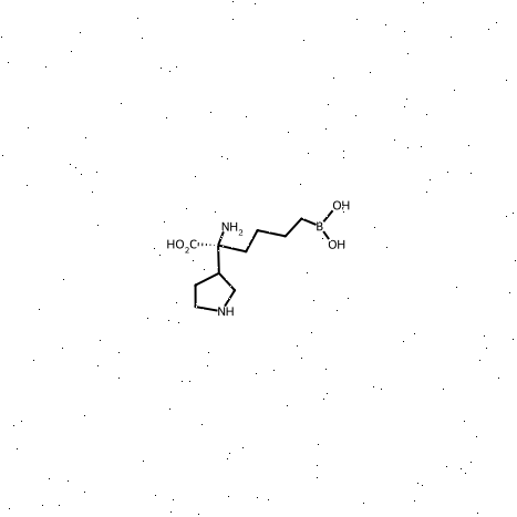 N[C@](CCCCB(O)O)(C(=O)O)C1CCNC1